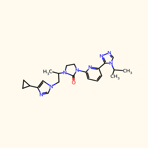 CC(Cn1cnc(C2CC2)c1)N1CCN(c2cccc(-c3nncn3C(C)C)n2)C1=O